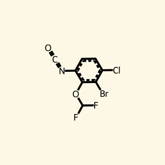 O=C=Nc1ccc(Cl)c(Br)c1OC(F)F